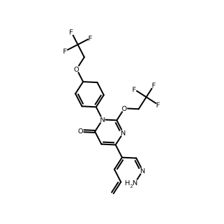 C=C/C=C(\C=N/N)c1cc(=O)n(C2=CCC(OCC(F)(F)F)C=C2)c(OCC(F)(F)F)n1